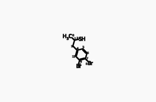 CC(S)Cc1ccc(Br)c(Br)c1